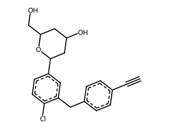 C#Cc1ccc(Cc2cc(C3CC(O)CC(CO)O3)ccc2Cl)cc1